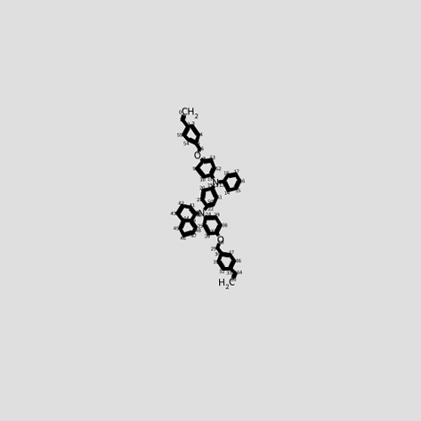 C=Cc1ccc(COc2ccc(N(c3ccccc3)c3ccc(N(c4ccc(OCc5ccc(C=C)cc5)cc4)c4cccc5ccccc45)cc3)cc2)cc1